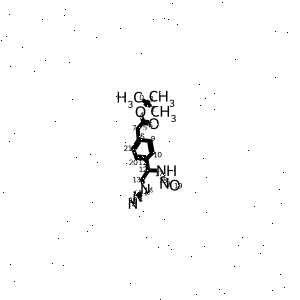 CC(C)(C)OC(=O)Cc1ccc(C(CN=[N+]=[N-])NN=O)cc1